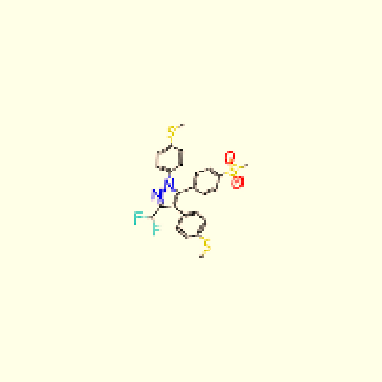 CSc1ccc(-c2c(C(F)F)nn(-c3ccc(SC)cc3)c2-c2ccc(S(C)(=O)=O)cc2)cc1